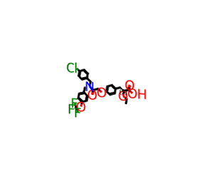 CCO[C@@H](Cc1ccc(OCC(=O)N(Cc2ccc(Cl)cc2)Cc2ccc(OC(F)(F)F)cc2)cc1)C(=O)O